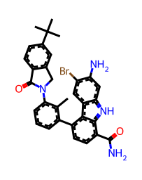 Cc1c(-c2ccc(C(N)=O)c3[nH]c4cc(N)c(Br)cc4c23)cccc1N1Cc2cc(C(C)(C)C)ccc2C1=O